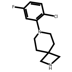 Fc1ccc(Cl)c(N2CCC3(CC2)CNC3)c1